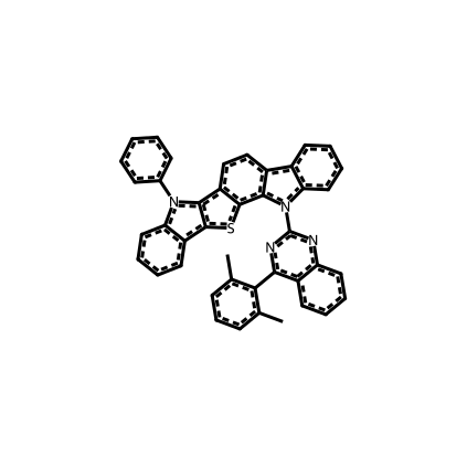 Cc1cccc(C)c1-c1nc(-n2c3ccccc3c3ccc4c(sc5c6ccccc6n(-c6ccccc6)c45)c32)nc2ccccc12